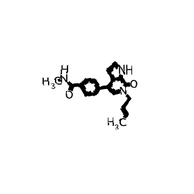 C/C=C/Cn1cc(-c2ccc(C(=O)NC)cc2)c2cc[nH]c2c1=O